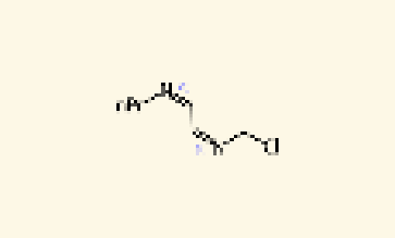 CCC/N=C\C=N/CCl